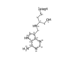 CCCCCCCSCC(CO)NCc1c[nH]c2c(N)ncnc12